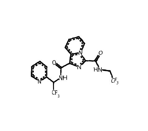 O=C(NC(c1ccccn1)C(F)(F)F)c1nc(C(=O)NCC(F)(F)F)n2ccccc12